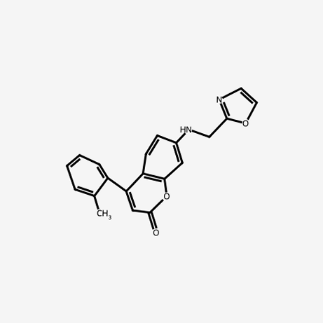 Cc1ccccc1-c1cc(=O)oc2cc(NCc3ncco3)ccc12